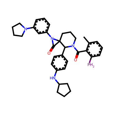 Cc1cccc(P)c1C(=O)N1CCCC2(C(=O)N2c2cccc(N3CCCC3)c2)C1c1ccc(NC2CCCC2)cc1